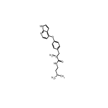 CN(C)CCNC(=O)[C@@H](N)Cc1ccc(Oc2ccnc3[nH]ccc23)cc1